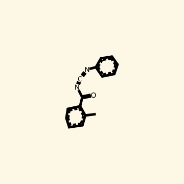 Cc1ccccc1C(=O)N=C=Nc1ccccc1